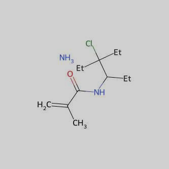 C=C(C)C(=O)NC(CC)C(Cl)(CC)CC.N